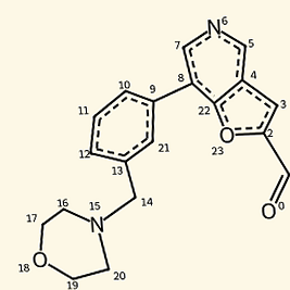 O=Cc1cc2cncc(-c3cccc(CN4CCOCC4)c3)c2o1